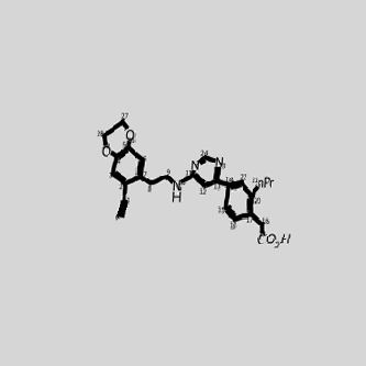 C#Cc1cc2c(cc1CCNc1cc(-c3ccc(CC(=O)O)c(CCC)c3)ncn1)OCCO2